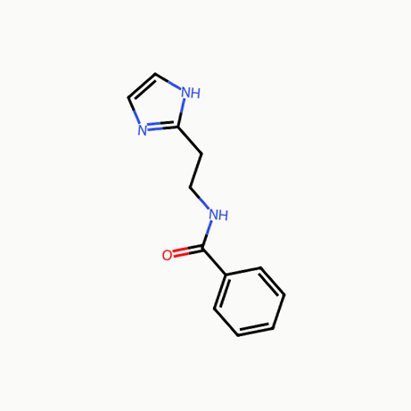 O=C(NCCc1ncc[nH]1)c1ccccc1